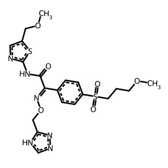 COCCCS(=O)(=O)c1ccc(/C(=N\OCc2nnc[nH]2)C(=O)Nc2ncc(COC)s2)cc1